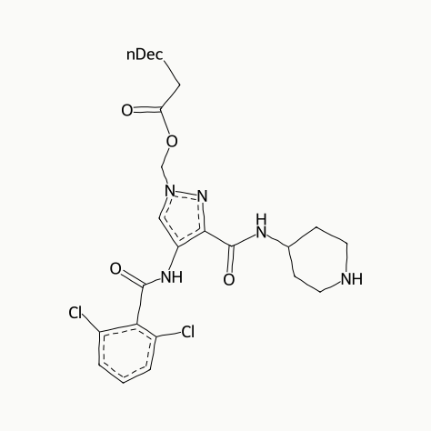 CCCCCCCCCCCC(=O)OCn1cc(NC(=O)c2c(Cl)cccc2Cl)c(C(=O)NC2CCNCC2)n1